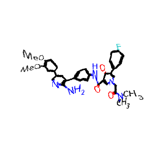 COc1ccc(-c2cnc(N)c(-c3ccc(NC(=O)c4cn(CC(=O)N(C)C)cc(-c5ccc(F)cc5)c4=O)cc3)c2)cc1OC